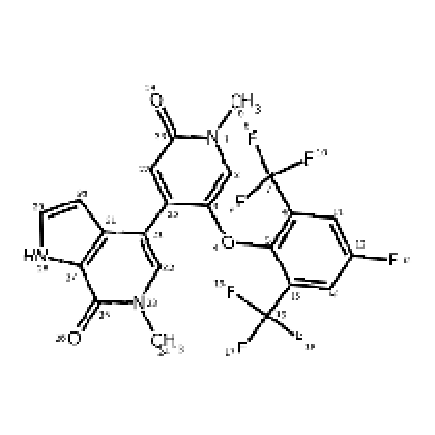 Cn1cc(Oc2c(C(F)(F)F)cc(F)cc2C(F)(F)F)c(-c2cn(C)c(=O)c3[nH]ccc23)cc1=O